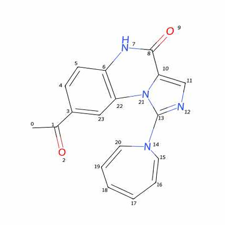 CC(=O)c1ccc2[nH]c(=O)c3cnc(N4C=CC=CC=C4)n3c2c1